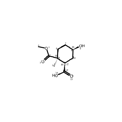 COC(=O)[C@@]1(C)CC[C@@H](O)C[C@H]1C(=O)O